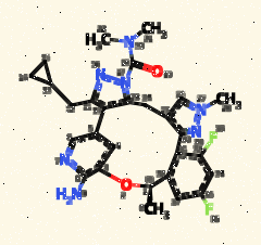 C[C@H]1Oc2cc(cnc2N)-c2c(CC3CC3)nn(C(=O)N(C)C)c2Cc2cn(C)nc2-c2c(F)cc(F)cc21